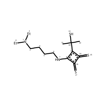 CCN(CC)CCCCNc1c(C(C)(C)S)c(=S)c1=S